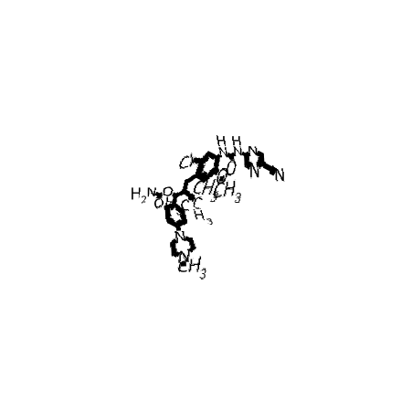 COc1cc(CC(C(OC(N)=O)c2ccc(N3CCN(C)CC3)cc2)C(C)(C)C)c(Cl)cc1NC(=O)Nc1cnc(C#N)cn1